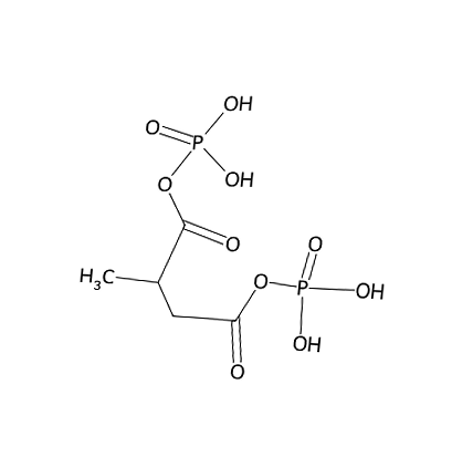 CC(CC(=O)OP(=O)(O)O)C(=O)OP(=O)(O)O